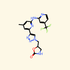 Cc1cc(Nc2cc(C(F)(F)F)ccn2)nc(-c2cn(CC3CNC(=O)O3)nn2)c1